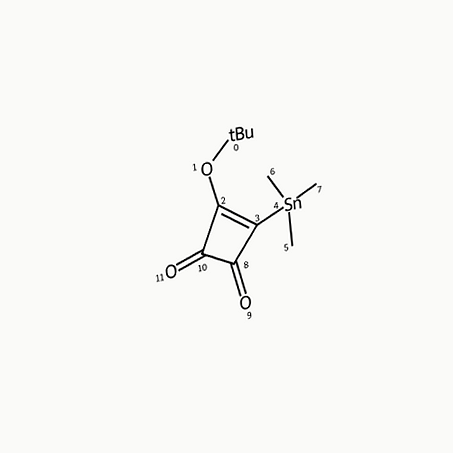 CC(C)(C)Oc1[c]([Sn]([CH3])([CH3])[CH3])c(=O)c1=O